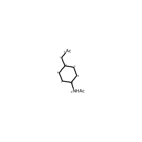 CC(=O)CC1CCC(NC(C)=O)CC1